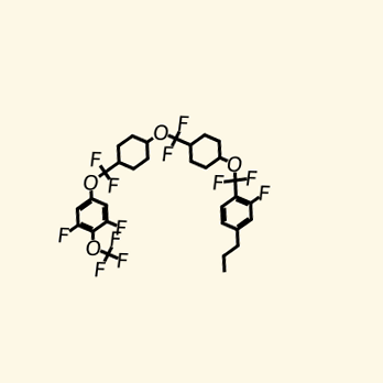 CCCc1ccc(C(F)(F)OC2CCC(C(F)(F)OC3CCC(C(F)(F)Oc4cc(F)c(OC(F)(F)F)c(F)c4)CC3)CC2)c(F)c1